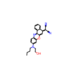 CCCCN(CCO)c1ccc2c(c1)Oc1cc(=C(C#N)C#N)c3ccccc3c1=N2